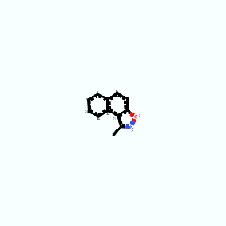 Cc1noc2ccc3ccccc3c12